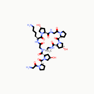 NCCCC[C@H](NC(=O)CNC(=O)[C@@H]1C[C@@H](O)CN1C(=O)[C@@H]1CCCN1C(=O)CN)C(=O)N1C[C@H](O)C[C@H]1C(=O)NCC(=O)N1CCC[C@H]1C(=O)N1C[C@H](O)C[C@H]1C(=O)NCC(=O)O